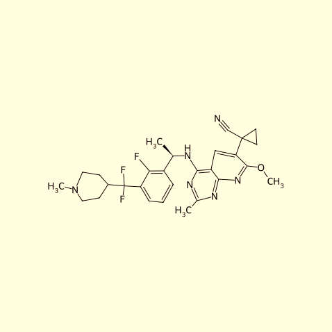 COc1nc2nc(C)nc(N[C@H](C)c3cccc(C(F)(F)C4CCN(C)CC4)c3F)c2cc1C1(C#N)CC1